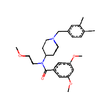 COCCN(C(=O)c1cc(OC)cc(OC)c1)C1CCN(Cc2ccc(C)c(C)c2)CC1